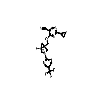 N#Cc1cnc(C2CC2)nc1OCC12C[C@@H]1CN(c1ncc(C(F)(F)F)cn1)C2